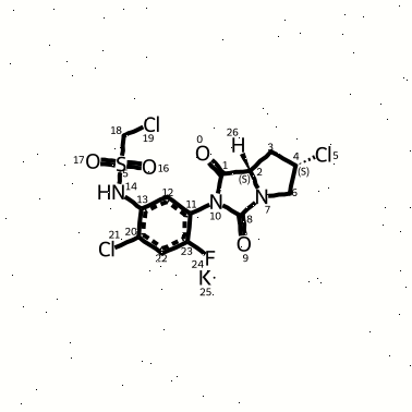 O=C1[C@@H]2C[C@H](Cl)CN2C(=O)N1c1cc(NS(=O)(=O)CCl)c(Cl)cc1F.[K]